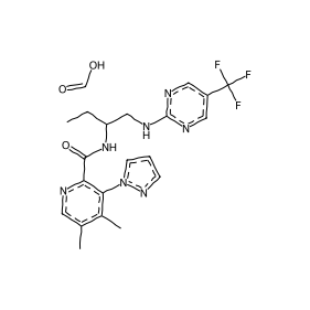 CCC(CNc1ncc(C(F)(F)F)cn1)NC(=O)c1ncc(C)c(C)c1-n1cccn1.O=CO